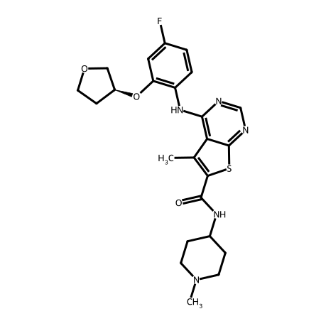 Cc1c(C(=O)NC2CCN(C)CC2)sc2ncnc(Nc3ccc(F)cc3O[C@H]3CCOC3)c12